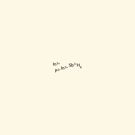 [In+3].[In+3].[P-3].[SbH6-3]